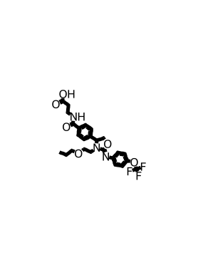 CCCOCCN1C(=Nc2ccc(OC(F)(F)F)cc2)OCC1c1ccc(C(=O)NCCC(=O)O)cc1